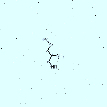 CC(C)SCC(N)CN